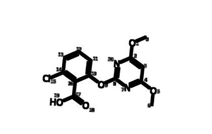 COc1cc(OC)nc(Oc2cccc(Cl)c2C(=O)O)n1